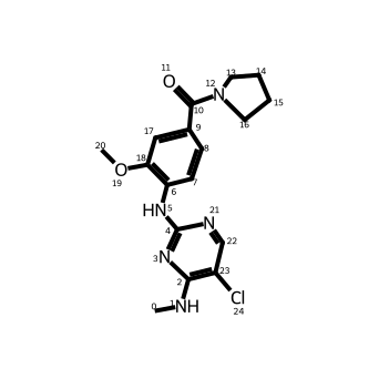 CNc1nc(Nc2ccc(C(=O)N3CCCC3)cc2OC)ncc1Cl